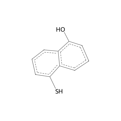 Oc1cccc2c(S)cccc12